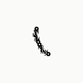 c1ccc2sc(-c3ncc(-c4nc5cc6cc7oc(-c8cnc(-c9nc%10ccccc%10s9)s8)nc7cc6cc5o4)s3)nc2c1